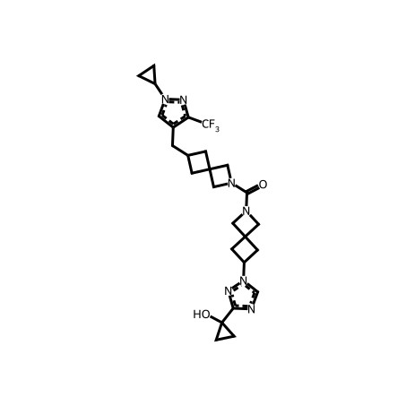 O=C(N1CC2(CC(Cc3cn(C4CC4)nc3C(F)(F)F)C2)C1)N1CC2(CC(n3cnc(C4(O)CC4)n3)C2)C1